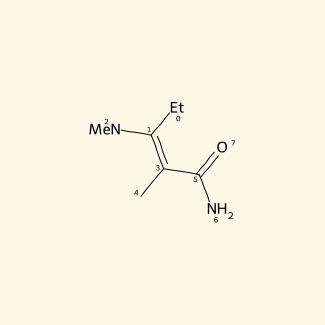 CC/C(NC)=C(/C)C(N)=O